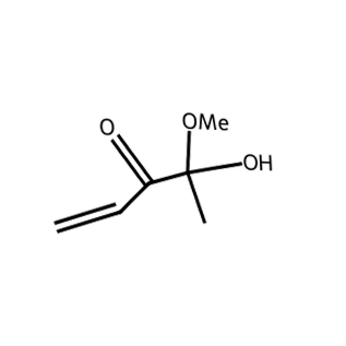 C=CC(=O)C(C)(O)OC